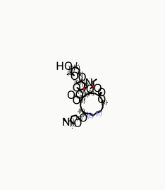 CCC(=O)O[C@@H]1CC(=O)O[C@H](C)C/C=C/C=C/[C@H](O[C@H]2CC[C@H](N(C)C)[C@@H](C)O2)[C@H](C)C[C@H](OC=O)[C@H](O[C@H]2C[C@@H](N(C)C)[C@H](O[C@H]3C[C@H](C)[C@@H](O)[C@H](C)O3)[C@@H](C)O2)[C@H]1CC